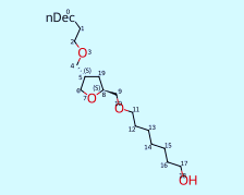 CCCCCCCCCCCCOC[C@H]1CO[C@H](COCCCCCCCO)C1